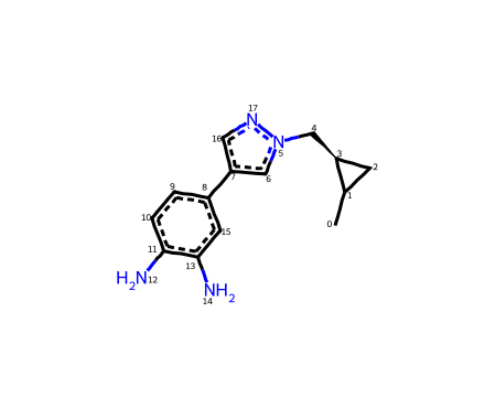 CC1C[C@@H]1Cn1cc(-c2ccc(N)c(N)c2)cn1